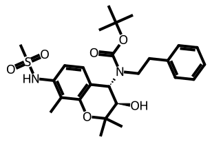 Cc1c(NS(C)(=O)=O)ccc2c1OC(C)(C)[C@H](O)[C@H]2N(CCc1ccccc1)C(=O)OC(C)(C)C